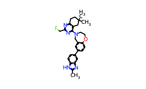 Cc1nc2cc(-c3ccc4c(c3)CN(c3nc(CF)nc5c3CC(C)(C)CC5)CCO4)ccc2[nH]1